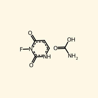 NC(=O)O.O=c1cc[nH]c(=O)n1F